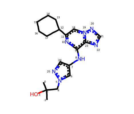 CC(C)(O)Cn1cc(Nc2nc(C3CCCCC3)cn3ncnc23)cn1